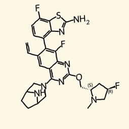 C=Cc1cc2c(N3CC4CCC(C3)N4)nc(OC[C@@H]3C[C@@H](F)CN3C)nc2c(F)c1-c1ccc(F)c2sc(N)nc12